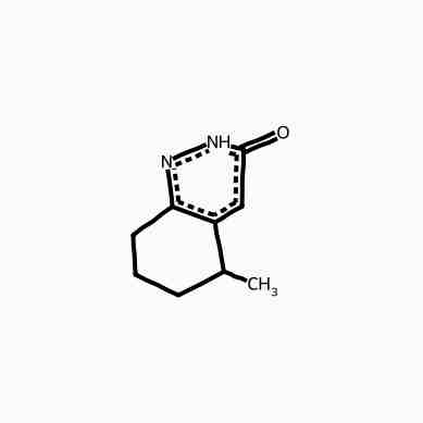 CC1CCCc2n[nH]c(=O)cc21